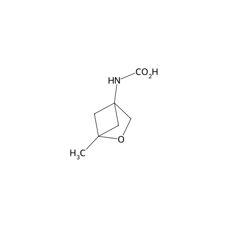 CC12CC(NC(=O)O)(CO1)C2